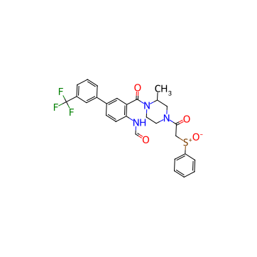 CC1CN(C(=O)C[S+]([O-])c2ccccc2)CCN1C(=O)c1cc(-c2cccc(C(F)(F)F)c2)ccc1NC=O